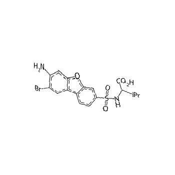 CC(C)C(NS(=O)(=O)c1ccc2c(c1)oc1cc(N)c(Br)cc12)C(=O)O